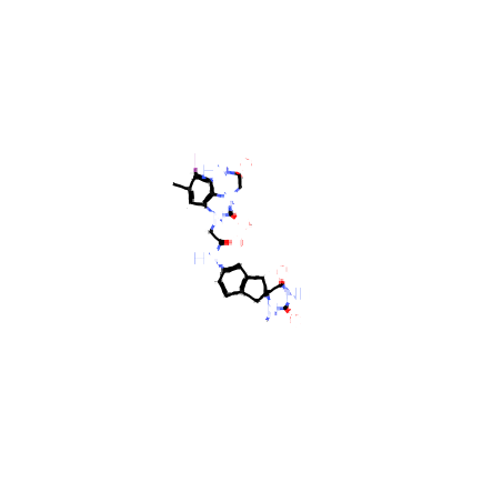 Cc1cc2c3c(c1I)NC(=O)Cn3c(=O)n2CC(=O)Nc1ccc2c(c1)CC1(C2)C(=O)NC(=O)N1C